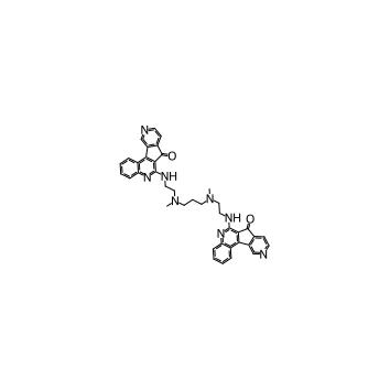 CN(CCCN(C)CCNc1nc2ccccc2c2c1C(=O)c1ccncc1-2)CCNc1nc2ccccc2c2c1C(=O)c1ccncc1-2